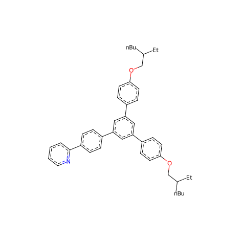 CCCCC(CC)COc1ccc(-c2cc(-c3ccc(OCC(CC)CCCC)cc3)cc(-c3ccc(-c4ccccn4)cc3)c2)cc1